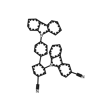 N#Cc1ccc(-c2ccc(-n3c4ccccc4c4ccccc43)cc2)c(-n2c3ccccc3c3cc(C#N)ccc32)c1